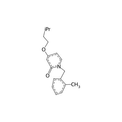 Cc1ccccc1Cn1ccc(OCCC(C)C)cc1=O